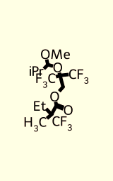 CCC(C)(C(=O)OCC(OC(OC)C(C)C)(C(F)(F)F)C(F)(F)F)C(F)(F)F